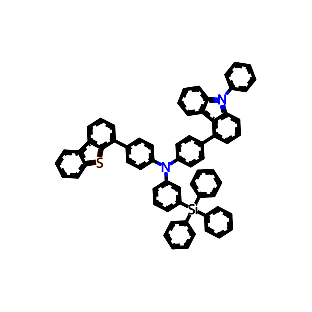 c1ccc(-n2c3ccccc3c3c(-c4ccc(N(c5ccc(-c6cccc7c6sc6ccccc67)cc5)c5cccc([Si](c6ccccc6)(c6ccccc6)c6ccccc6)c5)cc4)cccc32)cc1